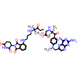 CN(Cc1cnc2nc(N)nc(N)c2n1)c1ccc(C(=O)C(C)(C)N[C@@H](CCC(=O)C(C)(C)NCCCNc2cccc3c2C(=O)N(C2CCC(=O)NC2=O)C3=O)C(=O)O)cc1